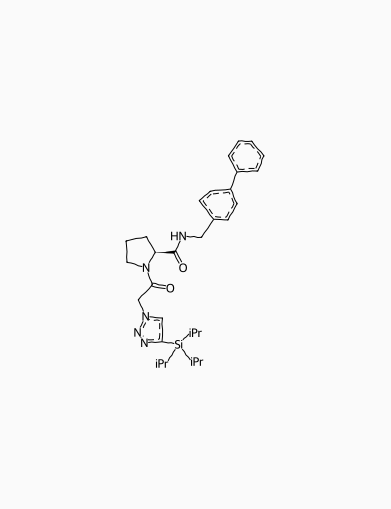 CC(C)[Si](c1cn(CC(=O)N2CCC[C@H]2C(=O)NCc2ccc(-c3ccccc3)cc2)nn1)(C(C)C)C(C)C